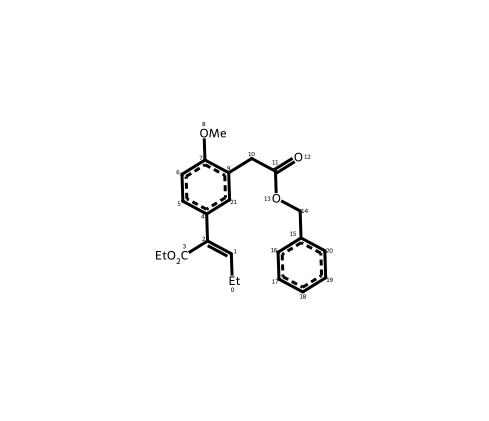 CCC=C(C(=O)OCC)c1ccc(OC)c(CC(=O)OCc2ccccc2)c1